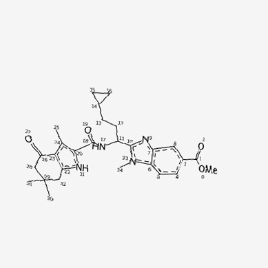 COC(=O)c1ccc2c(c1)nc(C(CCC1CC1)NC(=O)c1[nH]c3c(c1C)C(=O)CC(C)(C)C3)n2C